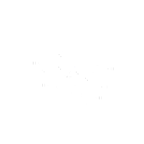 C[Si](C)(C)N(/N=C1/CCCC/C1=N\N([Si](C)(C)C)[Si](C)(C)C)[Si](C)(C)C